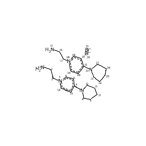 NCC[n+]1ccc(N2CCCCC2)cc1.NCC[n+]1ccc(N2CCCCC2)cc1.[Br-].[Br-]